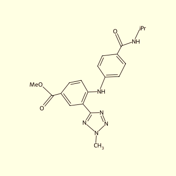 COC(=O)c1ccc(Nc2ccc(C(=O)NC(C)C)cc2)c(-c2nnn(C)n2)c1